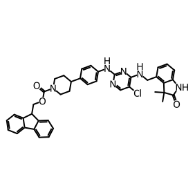 CC1(C)C(=O)Nc2cccc(CNc3nc(Nc4ccc(C5CCN(C(=O)OCC6c7ccccc7-c7ccccc76)CC5)cc4)ncc3Cl)c21